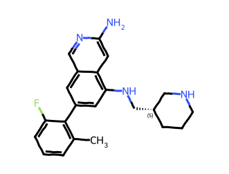 Cc1cccc(F)c1-c1cc(NC[C@H]2CCCNC2)c2cc(N)ncc2c1